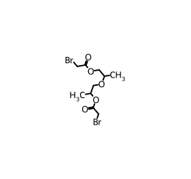 CC(COC(=O)CBr)OCC(C)OC(=O)CBr